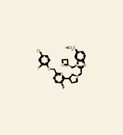 O=C(O)c1ccc2nc(CN3CCC(c4nc(COc5ccc(Cl)cc5F)ccc4F)C3)n(C[C@@H]3CCO3)c2c1